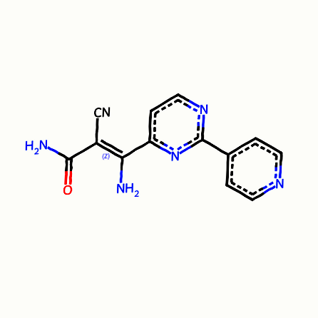 N#C/C(C(N)=O)=C(/N)c1ccnc(-c2ccncc2)n1